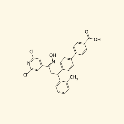 Cc1ccccc1C(CC(=NO)c1cc(Cl)nc(Cl)c1)c1ccc(-c2ccc(C(=O)O)cc2)cc1